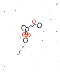 CCCCCCc1ccc(S(=O)(=O)n2cc(/C=C/C(=O)c3ccccc3)c3ccccc32)cc1